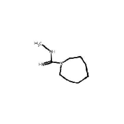 CNC(=N)N1CCCCCCC1